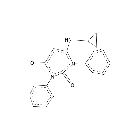 O=c1cc(NC2CC2)n(-c2ccccc2)c(=O)n1-c1ccccc1